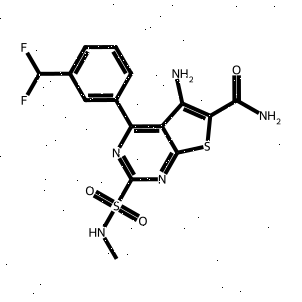 CNS(=O)(=O)c1nc(-c2cccc(C(F)F)c2)c2c(N)c(C(N)=O)sc2n1